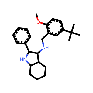 COc1ccc(C(C)(C)C)cc1CNC1C(c2ccccc2)NC2CCCCC21